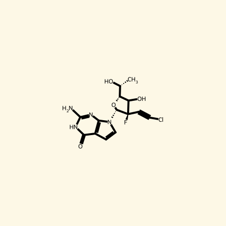 C[C@@H](O)[C@H]1O[C@@H](n2ccc3c(=O)[nH]c(N)nc32)[C@@](F)(C#CCl)C1O